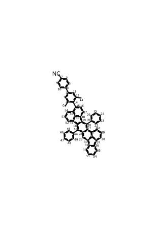 Cc1cc(-c2ccc(C#N)cc2)cc(C)c1-c1ccc2c3c(-c4ccccc4)c4c(cc5c6ccccc6c6cccc4c65)c(-c4ccccc4)c3c3cccc1c32